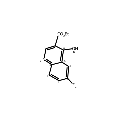 CCOC(=O)c1cnc2ccc(F)cc2c1O